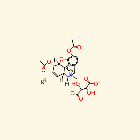 CC(=O)Oc1ccc2c3c1O[C@H]1[C@@H](OC(C)=O)C=C[C@H]4[C@@H](C2)N(C)CC[C@@]341.O=C([O-])C(O)C(O)C(=O)[O-].[K+].[K+]